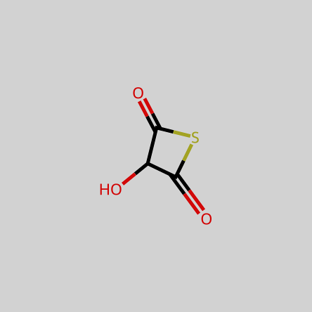 O=C1SC(=O)C1O